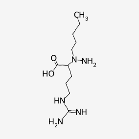 CCCCCN(N)C(CCCNC(=N)N)C(=O)O